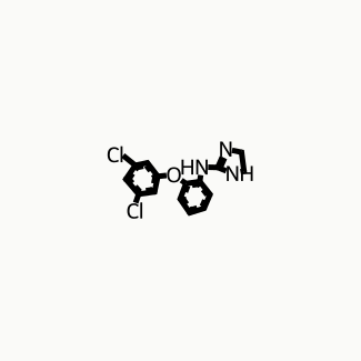 Clc1cc(Cl)cc(Oc2ccccc2NC2=NCCN2)c1